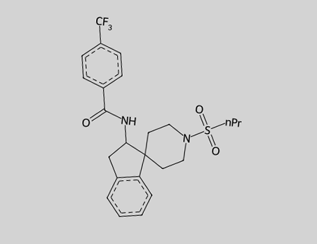 CCCS(=O)(=O)N1CCC2(CC1)c1ccccc1CC2NC(=O)c1ccc(C(F)(F)F)cc1